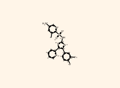 Cc1cc(N)cnc1S(=O)(=O)Nc1nc(-c2ccc(F)c(F)c2)c(-c2ccccn2)s1